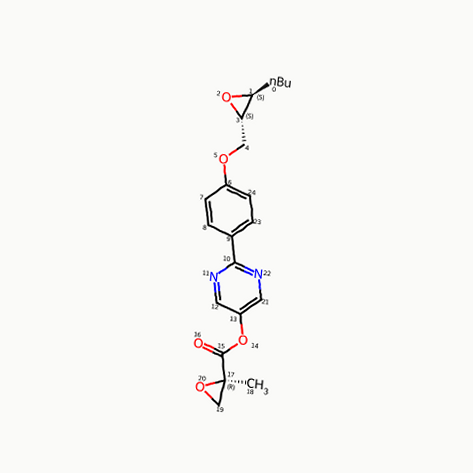 CCCC[C@@H]1O[C@H]1COc1ccc(-c2ncc(OC(=O)[C@@]3(C)CO3)cn2)cc1